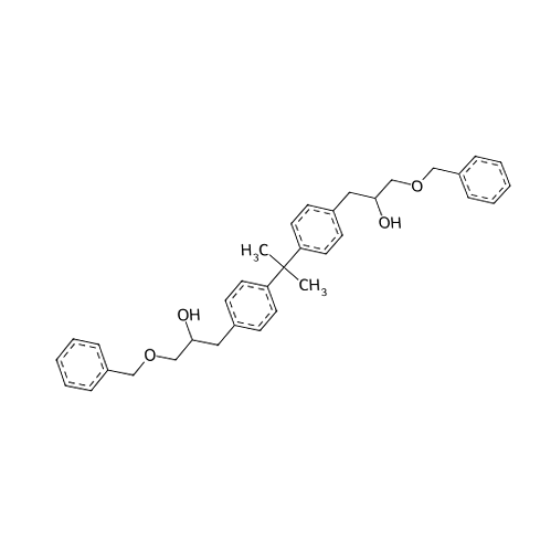 CC(C)(c1ccc(CC(O)COCc2ccccc2)cc1)c1ccc(CC(O)COCc2ccccc2)cc1